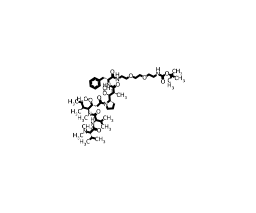 CC[C@H](C)[C@@H]([C@@H](CC(=O)N1CCC[C@H]1[C@H](OC)[C@@H](C)C(=O)N[C@H](Cc1ccccc1)C(=O)NCCOCCOCCNC(=O)OC(C)(C)C)OC)N(C)C(=O)[C@H](NC(=O)[C@H](C(C)C)N(C)C)C(C)C